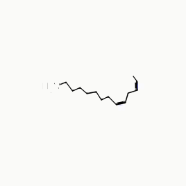 C/C=C\C/C=C\CCCCCCCN